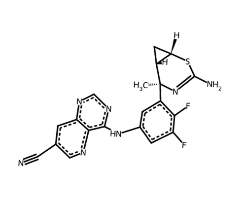 C[C@@]1(c2cc(Nc3ncnc4cc(C#N)cnc34)cc(F)c2F)N=C(N)S[C@H]2C[C@H]21